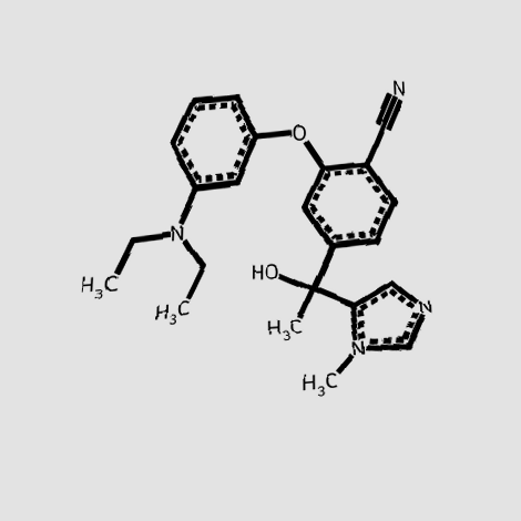 CCN(CC)c1cccc(Oc2cc(C(C)(O)c3cncn3C)ccc2C#N)c1